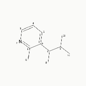 Cc1ncccc1C(C)C(C)C